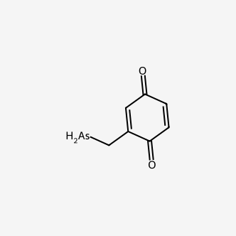 O=C1C=CC(=O)C(C[AsH2])=C1